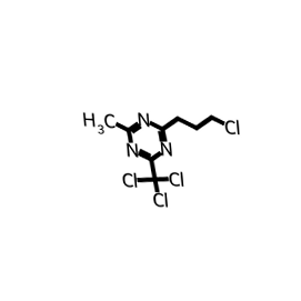 Cc1nc(CCCCl)nc(C(Cl)(Cl)Cl)n1